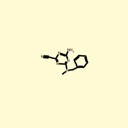 CN(Cc1ccccc1)c1nc(N)nc(C#N)n1